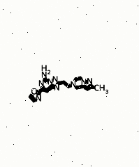 Cc1cc2n(n1)CCN(CCc1nc3cc(-c4ncco4)nc(N)n3n1)C2